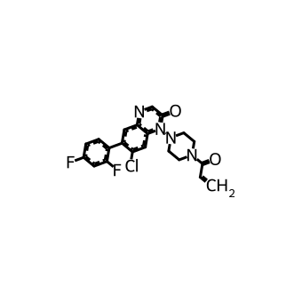 C=CC(=O)N1CCN(n2c(=O)cnc3cc(-c4ccc(F)cc4F)c(Cl)cc32)CC1